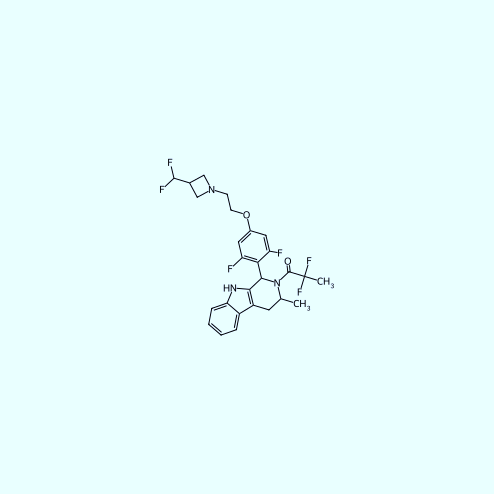 CC1Cc2c([nH]c3ccccc23)C(c2c(F)cc(OCCN3CC(C(F)F)C3)cc2F)N1C(=O)C(C)(F)F